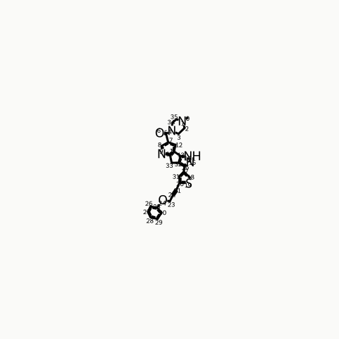 CN1CCN(C(=O)c2cnc3c(c2)-c2[nH]nc(-c4csc(C#CCOc5ccccc5)c4)c2C3)CC1